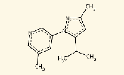 Cc1cncc(-n2nc(C)cc2C(C)C)c1